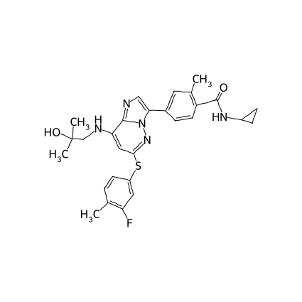 Cc1ccc(Sc2cc(NCC(C)(C)O)c3ncc(-c4ccc(C(=O)NC5CC5)c(C)c4)n3n2)cc1F